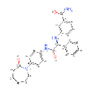 NC(=O)c1cccc(N[C@H](C(=O)Nc2ccc(N3CCCCCC3=O)cc2)c2ccccc2)c1